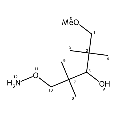 COCC(C)(C)C(O)C(C)(C)CON